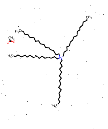 CC(=O)[O-].CCCCCCCCCCCCCCCC[N+](CCCCCCCCCCCCCCCC)(CCCCCCCCCCCCCCCC)CCCCCCCCCCCCCCCC